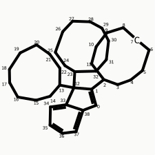 C1=C(C2CCCCCCCCC2)C(C2CCCCCCCCC2)(C2CCCCCCCCC2)c2ccccc21